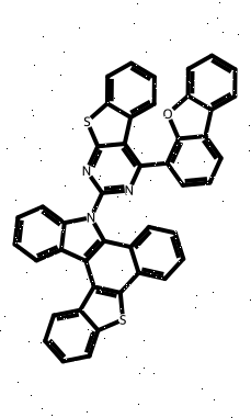 c1ccc2c(c1)oc1c(-c3nc(-n4c5ccccc5c5c6c7ccccc7sc6c6ccccc6c54)nc4sc5ccccc5c34)cccc12